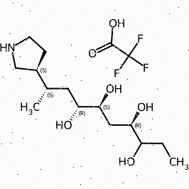 CCC(O)[C@H](O)C[C@H](O)[C@H](O)C[C@H](C)[C@@H]1CCNC1.O=C(O)C(F)(F)F